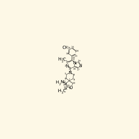 Cc1nc(N2CCC3(CC2)CO[C@@H](C)[C@H]3N)c2cncn2c1-c1cccc(Cl)c1